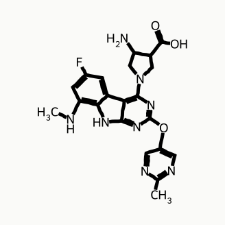 CNc1cc(F)cc2c1[nH]c1nc(Oc3cnc(C)nc3)nc(N3CC(N)C(C(=O)O)C3)c12